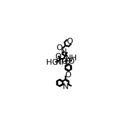 Cc1cc(COc2ccc(S(=O)(=O)NC3(CC(=O)NO)CN(C(=O)C4CCOCC4)C3)cc2)c2ccccc2n1